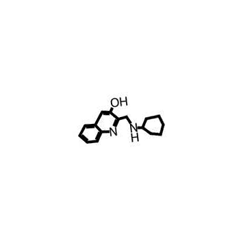 Oc1cc2ccccc2nc1CNC1CCCCC1